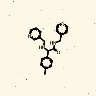 Cc1ccc(C(NCc2cccnc2)C(=O)NCc2ccncc2)cc1